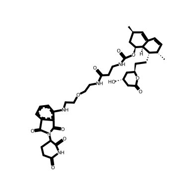 C[C@H]1C=C2C=C[C@H](C)[C@H](CC[C@@H]3C[C@@H](O)CC(=O)O3)[C@H]2[C@@H](OC(=O)NCCC(=O)NCCOCCNc2cccc3c2C(=O)N(C2CCC(=O)NC2=O)C3=O)C1